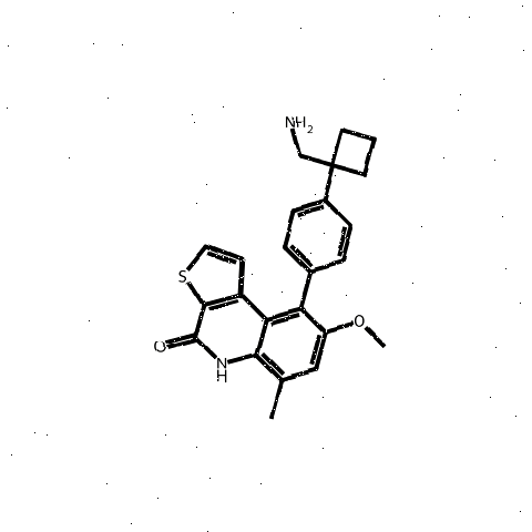 COc1cc(C)c2[nH]c(=O)c3sccc3c2c1-c1ccc(C2(CN)CCC2)cc1